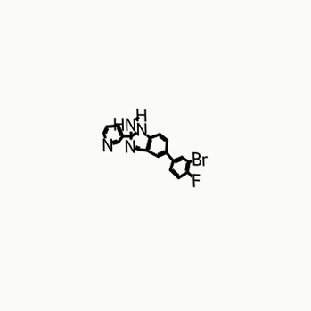 CNC1(c2cccnc2)N=Cc2cc(-c3ccc(F)c(Br)c3)ccc2N1